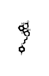 O=C1CN2c3c(cccc3[C@@H]3CN(CCCOc4ccc(F)cc4)CC[C@H]32)N1